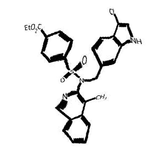 CCOC(=O)c1ccc(S(=O)(=O)N(Cc2ccc3c(Cl)c[nH]c3c2)c2ncc3ccccc3c2C)cc1